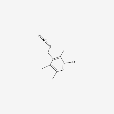 CCc1cc(C)c(C)c(CN=[N+]=[N-])c1C